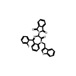 O=C1C(N2C(=O)c3ccccc3C2=O)N=C(c2ccccc2F)c2ccccc2N1Cc1csc2ccccc12